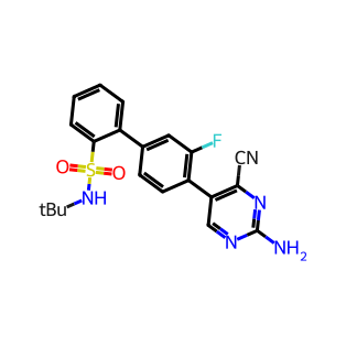 CC(C)(C)NS(=O)(=O)c1ccccc1-c1ccc(-c2cnc(N)nc2C#N)c(F)c1